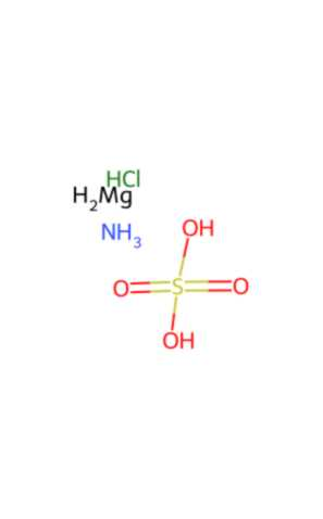 Cl.N.O=S(=O)(O)O.[MgH2]